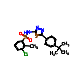 Cc1c(Cl)cccc1S(=O)(=O)Nc1nnc(-c2ccc(C(C)(C)C)cc2)s1